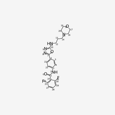 O=C(Nc1ccc(-c2nnc(NCCCN3CCOCC3)o2)cc1)c1c(F)cccc1F